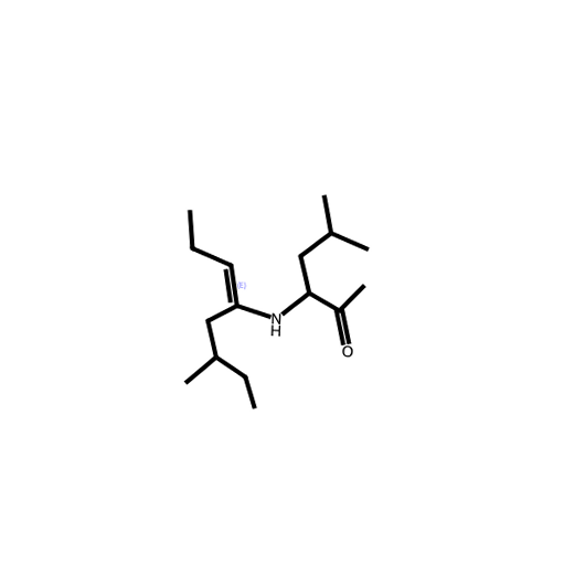 CC/C=C(\CC(C)CC)NC(CC(C)C)C(C)=O